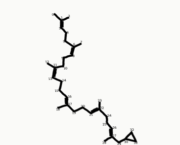 CC(C)=CCCC(C)=CCCC(C)=CCCC=C(C)CCC=C(C)CCC=C(C)CC1CC1